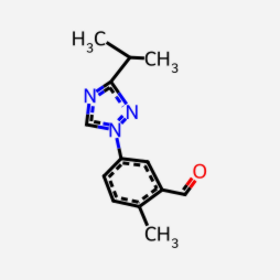 Cc1ccc(-n2cnc(C(C)C)n2)cc1C=O